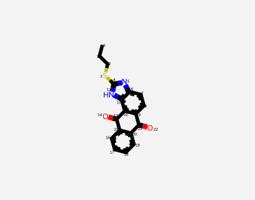 CCCSc1nc2ccc3c(c2[nH]1)C(=O)c1ccccc1C3=O